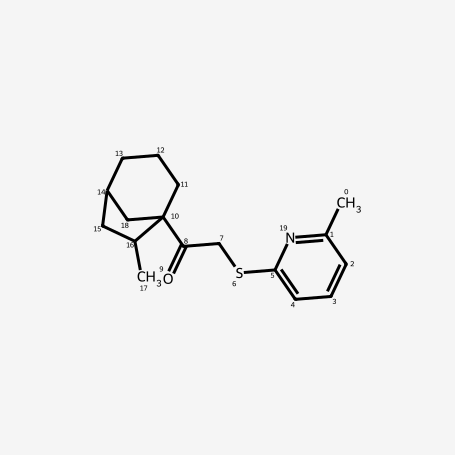 Cc1cccc(SCC(=O)C23CCCC(CC2C)C3)n1